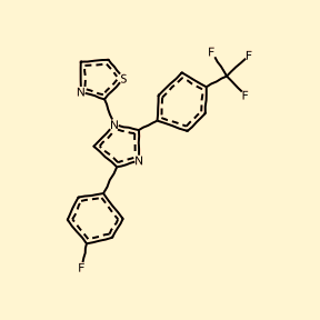 Fc1ccc(-c2cn(-c3nccs3)c(-c3ccc(C(F)(F)F)cc3)n2)cc1